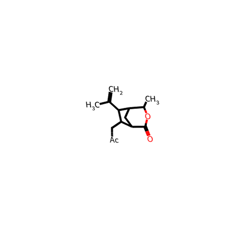 C=C(C)C1C2CC(C(=O)OC2C)C1CC(C)=O